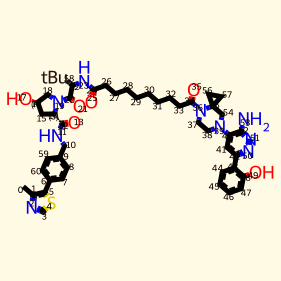 Cc1ncsc1-c1ccc(CNC(=O)[C@@H]2C[C@@H](O)CN2C(=O)C(NC(=O)CCCCCCCCC(=O)N2CCN(c3cc(-c4ccccc4O)nnc3N)CC23CC3)C(C)(C)C)cc1